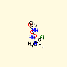 COc1ccc(NC(=O)CCC(=O)NC2CCC(Cc3ccc(Cl)cc3)(N(C)C)CC2)cc1